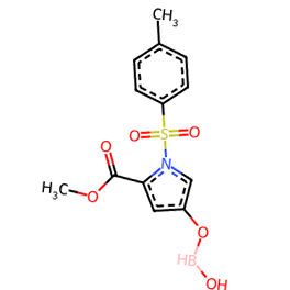 COC(=O)c1cc(OBO)cn1S(=O)(=O)c1ccc(C)cc1